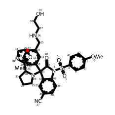 COc1ccc(S(=O)(=O)N2C(=O)C(c3cc(CNCCO)ccc3OC)(N3CCCC3c3ncco3)c3cc(C#N)ccc32)cc1